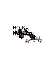 CCOP(=O)(OCCC1C[C@@]2(C)C(=CC[C@@H]3[C@@H]2CC[C@@]2(C)[C@H]3CC[C@]2(C)[C@H](C)CCCC(C)C)C[C@@H]1OC(=O)CCC(=O)O)OC(Cn1cncn1)(Cn1cncn1)c1ccc(F)cc1F